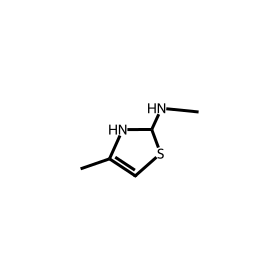 CNC1NC(C)=CS1